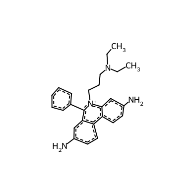 CCN(CC)CCC[n+]1c(-c2ccccc2)c2cc(N)ccc2c2ccc(N)cc21